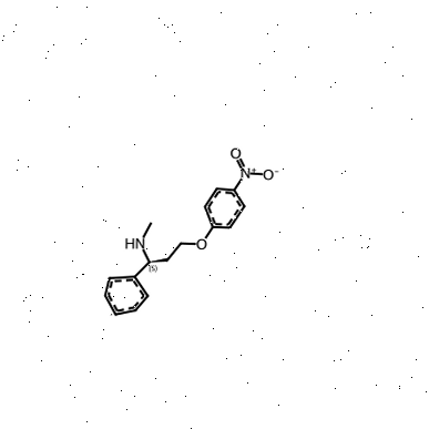 CN[C@@H](CCOc1ccc([N+](=O)[O-])cc1)c1cc[c]cc1